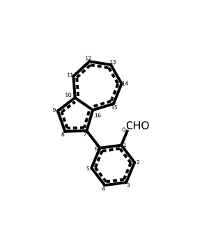 O=Cc1ccccc1-c1ccc2cccccc1-2